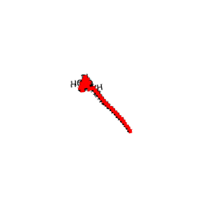 CCCCCCCCCCCCCCCCCCCCCCCCCCCCCCCCOCCCNc1ccc2c(-c3ccccc3C(=O)O)c3cc/c(=N\C)cc-3oc2c1